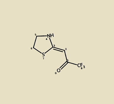 O=C(/C=C1/NCCS1)C(F)(F)F